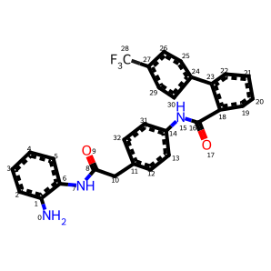 Nc1ccccc1NC(=O)Cc1ccc(NC(=O)c2ccccc2-c2ccc(C(F)(F)F)cc2)cc1